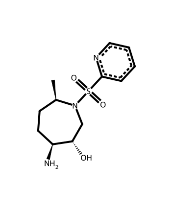 C[C@@H]1CC[C@H](N)[C@@H](O)CN1S(=O)(=O)c1ccccn1